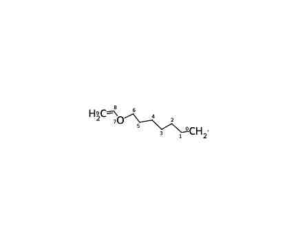 [CH2]CCCCCCOC=C